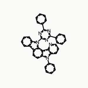 c1ccc(-c2nc(-c3ccccc3)nc(-n3c4ccccc4c4ccc5c(c6ncccc6n5-c5ccccc5)c43)n2)cc1